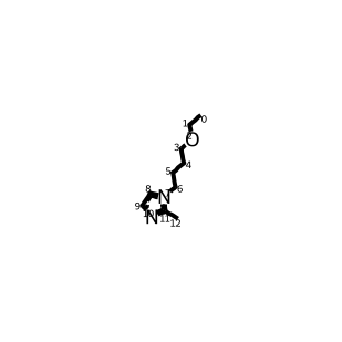 CCOCCCCn1c[c]nc1C